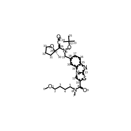 COCCCCN(C)C(=O)c1cn2c(nc3ccc(CN(OC(C)(C)C)C(=C=O)[C@@]4(C)CCCO4)cc32)s1